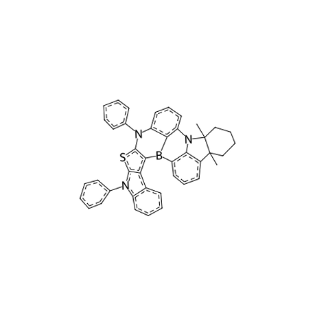 CC12CCCCC1(C)N1c3cccc4c3B(c3cccc2c31)c1c(sc2c1c1ccccc1n2-c1ccccc1)N4c1ccccc1